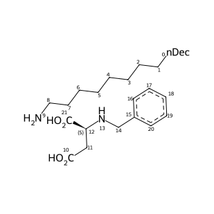 CCCCCCCCCCCCCCCCCCN.O=C(O)C[C@H](NCc1ccccc1)C(=O)O